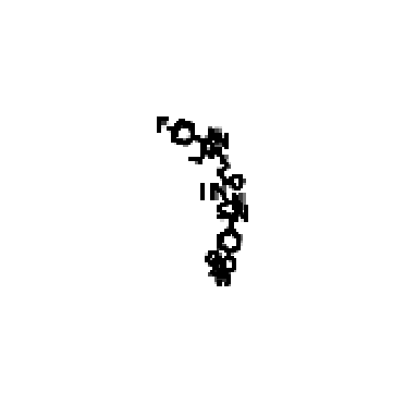 CCn1c(SCC(=O)Nc2nnc(-c3ccc(OS(C)(=O)=O)cc3)s2)nnc1-c1ccc(F)cc1